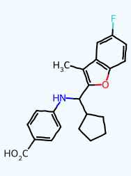 Cc1c(C(Nc2ccc(C(=O)O)cc2)C2CCCC2)oc2ccc(F)cc12